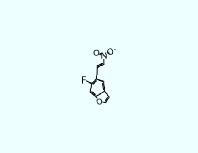 O=[N+]([O-])C=Cc1cc2ccoc2cc1F